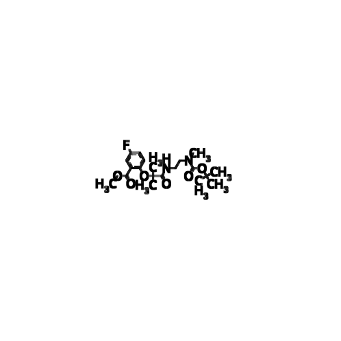 COC(=O)c1cc(F)ccc1OC(C)(C)C(=O)NCCN(C)C(=O)OC(C)(C)C